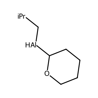 CC(C)[CH2][AlH][CH]1CCCCO1